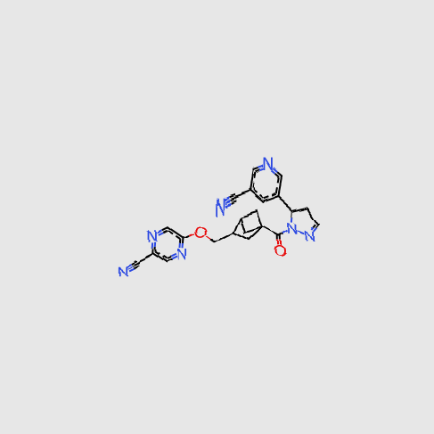 N#Cc1cncc(C2CC=NN2C(=O)C23CC(COc4cnc(C#N)cn4)C(C2)C3)c1